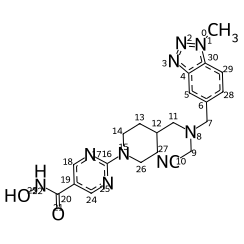 Cn1nnc2cc(CN(CC#N)CC3CCN(c4ncc(C(=O)NO)cn4)CC3)ccc21